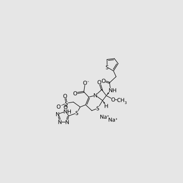 CO[C@@]1(NC(=O)Cc2cccs2)C(=O)N2C(C(=O)[O-])=C(C(CS(=O)(=O)[O-])Sc3nnn[nH]3)CS[C@H]21.[Na+].[Na+]